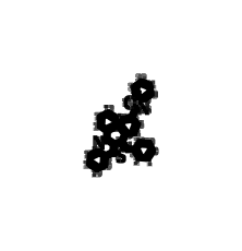 c1ccc(-c2sc3c(c(-c4ccccc4)nc4ccccc43)c2-c2ccc(-c3nc4ccccc4o3)cc2)cc1